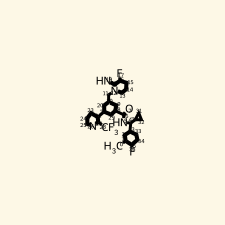 Cc1cc(C(NC(=O)c2cc(Cn3cccc(F)c3=N)cc(-c3cccnc3C(F)(F)F)c2)C2CC2)ccc1F